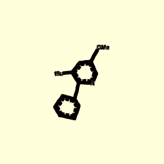 COc1cnc(-c2ccccc2)c(C(C)(C)C)c1